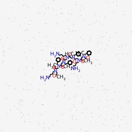 CC(=O)CN(CCCCN)C(=O)CN(C(=O)CN(C(=O)CN(CCCCN)C(=O)CN(C(=O)CN(CCCCN)C(=O)CN(C(C)=O)[C@@H](C)c1ccccc1)[C@@H](C)c1ccccc1)[C@@H](C)c1ccccc1)[C@@H](C)c1ccccc1